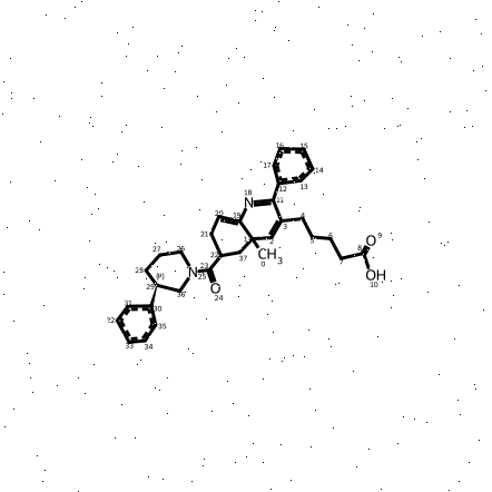 CC12C=C(CCCCC(=O)O)C(c3ccccc3)=NC1=CCC(C(=O)N1CCC[C@H](c3ccccc3)C1)C2